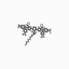 CCCCCCCCCCn1nc2c(-c3ccc4c(c3)C(=O)OC4(c3ccc(N(C)C)cc3)c3ccc(N(C)C)cc3)ccc(-c3ccc4c(c3)C(=O)OC4(c3ccc(N(C)C)cc3)c3ccc(N(C)C)cc3)c2n1